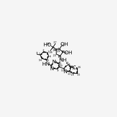 Cc1cccc(Nc2ncc(-c3nc4ccccc4s3)c(N[C@@H]3C[C@@H](C(C)(C)O)[C@@H](O)[C@H]3O)n2)c1